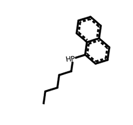 CCCCCPc1cccc2ccccc12